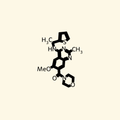 COc1cc2c(NC(C)c3cccs3)nc(C)nc2cc1C(=O)N1CCOCC1